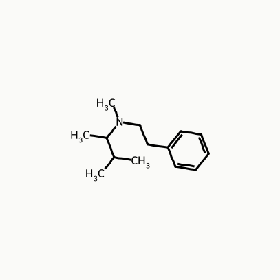 CC(C)C(C)N(C)CCc1ccccc1